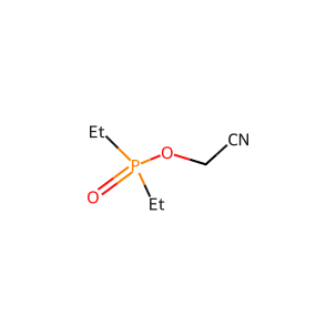 CCP(=O)(CC)OCC#N